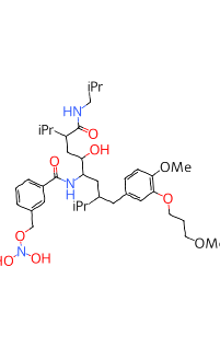 COCCCOc1cc(CC(CC(NC(=O)c2cccc(CON(O)O)c2)C(O)CC(C(=O)NCC(C)C)C(C)C)C(C)C)ccc1OC